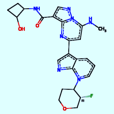 CNc1cc(-c2cnc3n(C4CCOC[C@H]4F)cccc2-3)nc2c(C(=O)NC3CCC3O)cnn12